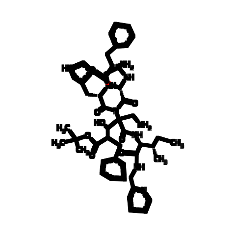 CC[C@H](C)[C@H](NC(=O)C(CN)(C(O)C(Cc1ccccc1)C(=O)OC(C)(C)C)N(C(=O)[C@@H]1CCCN1)C(=O)[C@H](Cc1c[nH]cn1)NC(=O)[C@@H](N)Cc1ccccc1)C(=O)NCc1ccccn1